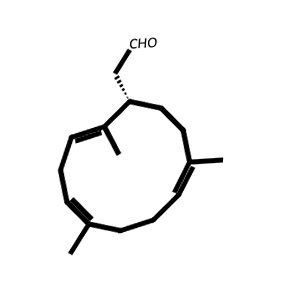 C/C1=C/C/C=C(\C)[C@H](CC=O)CC/C(C)=C\CC1